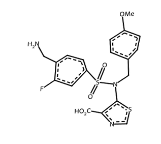 COc1ccc(CN(c2scnc2C(=O)O)S(=O)(=O)c2ccc(CN)c(F)c2)cc1